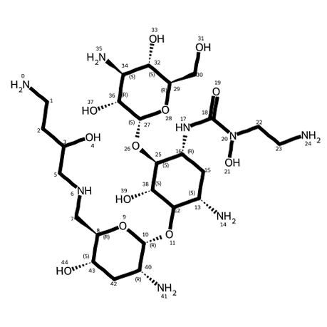 NCCC(O)CNC[C@H]1O[C@H](OC2[C@@H](N)C[C@@H](NC(=O)N(O)CCN)[C@H](O[C@H]3O[C@H](CO)[C@@H](O)[C@H](N)[C@H]3O)[C@H]2O)[C@H](N)C[C@@H]1O